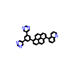 c1cc(-c2ccc3ccc4c(-c5cc(-c6cncnc6)cc(-c6cncnc6)c5)ccc5ccc2c3c54)c2cccnc2c1